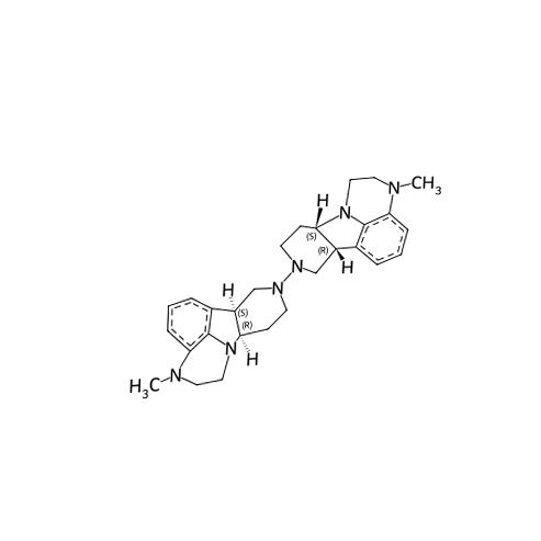 CN1CCN2c3c(cccc31)[C@H]1CN(N3CC[C@H]4[C@@H](C3)c3cccc5c3N4CCN5C)CC[C@H]12